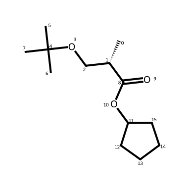 C[C@@H](COC(C)(C)C)C(=O)OC1CCCC1